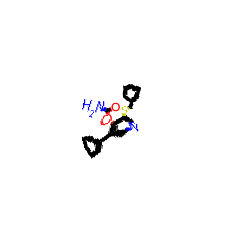 NC(=O)Oc1c(SCc2ccccc2)cncc1-c1ccccc1